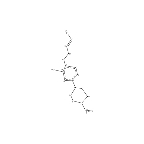 CCCCCC1CCC(c2ccc(CC/C=C/F)c(F)c2)CC1